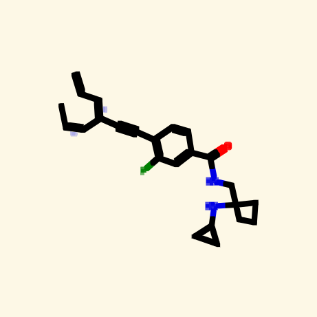 C=C/C=C(C#Cc1ccc(C(=O)NCC2(NC3CC3)CCC2)cc1F)\C=C/C